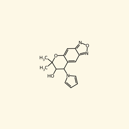 CC1(C)Oc2cc3nonc3cc2C(n2cccc2)C1O